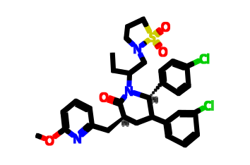 CCC(CN1CCCS1(=O)=O)N1C(=O)[C@H](Cc2cccc(OC)n2)CC(c2cccc(Cl)c2)[C@H]1c1ccc(Cl)cc1